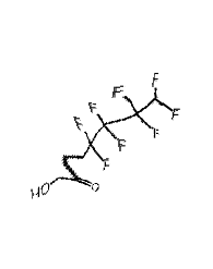 O=C(O)CC(F)(F)C(F)(F)C(F)(F)C(F)F